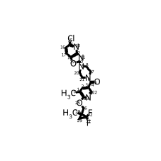 Cc1cc(C(=O)N2CCN(c3nc4nc(Cl)ccc4o3)CC2)cnc1OCC1(C)CC1(F)F